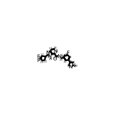 Cn1cc(-c2cc(F)cc(CNC(=O)c3nccc4nc(C5CCC(F)(F)C5)n(C)c34)c2)cn1